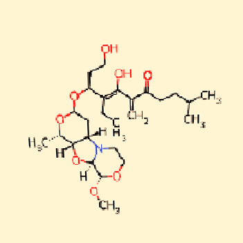 C=C(C(=O)CCC(C)C)/C(O)=C(\CC)[C@H](CCO)O[C@H]1C[C@H]2[C@H](O[C@@H]3[C@@H](OC)OCCN32)[C@H](C)O1